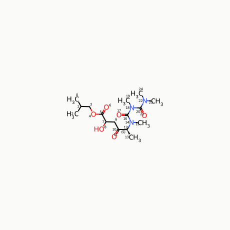 CC(C)COC(=O)C(O)CC(=O)[C@H](C)N(C)C(=O)N(C)C(=O)N(C)C